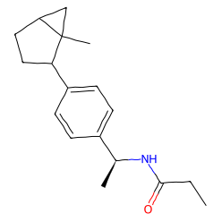 CCC(=O)N[C@@H](C)c1ccc(C2CCC3CC32C)cc1